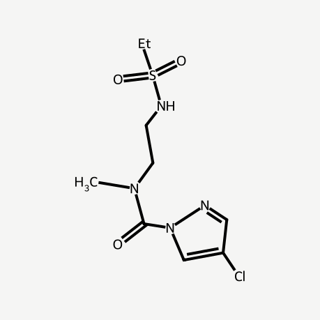 CCS(=O)(=O)NCCN(C)C(=O)n1cc(Cl)cn1